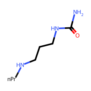 CCCNCCCNC(N)=O